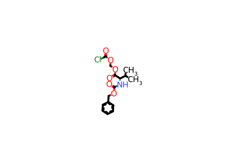 CC(C)[C@H](NC(=O)OCc1ccccc1)C(=O)OCOC(=O)Cl